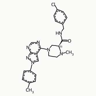 Cc1ccc(-n2cc3c(N4CCN(C)[C@H](C(=O)NCc5ccc(Cl)cc5)C4)ncnc3n2)cc1